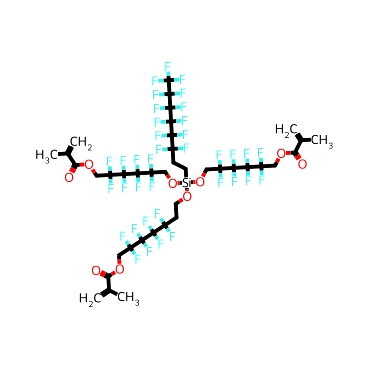 C=C(C)C(=O)OCC(F)(F)C(F)(F)C(F)(F)C(F)(F)CCO[Si](CCC(F)(F)C(F)(F)C(F)(F)C(F)(F)C(F)(F)C(F)(F)F)(OCC(F)(F)C(F)(F)C(F)(F)C(F)(F)COC(=O)C(=C)C)OCC(F)(F)C(F)(F)C(F)(F)C(F)(F)COC(=O)C(=C)C